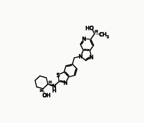 C[C@@H](O)c1cc2ncn(Cc3ccc4nc(N[C@@H]5CCCC[C@H]5O)sc4c3)c2cn1